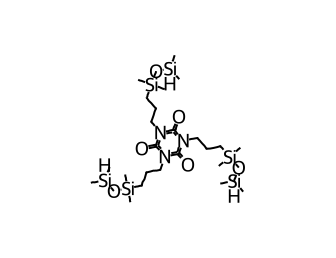 C[SiH](C)O[Si](C)(C)CCCn1c(=O)n(CCC[Si](C)(C)O[SiH](C)C)c(=O)n(CCC[Si](C)(C)O[SiH](C)C)c1=O